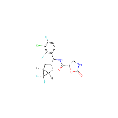 O=C1NC[C@@H](C(=O)NC(c2ccc(F)c(Cl)c2F)[C@@H]2C[C@@H]3[C@H](C2)C3(F)F)O1